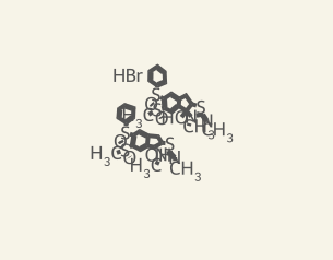 Br.CN=C1SC2Cc3cc(Sc4ccccc4)c(S(C)(=O)=O)cc3C2(O)N1C.CN=C1SC2Cc3cc(Sc4ccccc4)c(S(C)(=O)=O)cc3C2(O)N1C